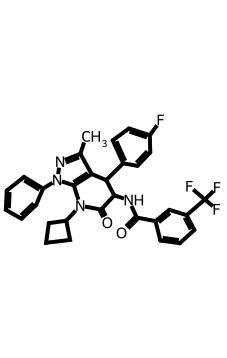 Cc1nn(-c2ccccc2)c2c1C(c1ccc(F)cc1)C(NC(=O)c1cccc(C(F)(F)F)c1)C(=O)N2C1CCC1